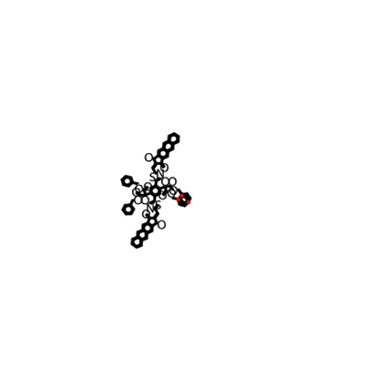 O=C1C(=Cc2nc3c(s2)-c2cc4c(cc2C(C(=O)OCc2ccccc2)(C(=O)OCc2ccccc2)O3)-c2sc(C=C3C(=O)c5cc6cc7ccccc7cc6cc5C3=O)nc2OC4(C(=O)OCc2ccccc2)C(=O)OCc2ccccc2)C(=O)c2cc3cc4ccccc4cc3cc21